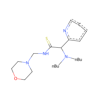 CCCCN(CCCC)C(C(=S)NCN1CCOCC1)c1ccccn1